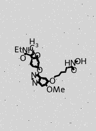 CCNC(=O)c1c(C)oc2cc(Oc3ncnc4cc(OC)c(OCCCCCC(=O)NO)cc34)ccc12